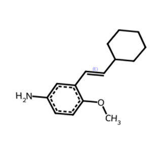 COc1ccc(N)cc1/C=C/C1CCCCC1